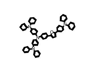 c1ccc(N(c2ccccc2)c2ccc(-c3ccc(-c4ccc(N(c5ccc(N(c6ccccc6)c6ccccc6)cc5)c5ccc(N(c6ccccc6)c6ccccc6)cc5)cc4)o3)cc2)cc1